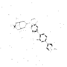 Cn1cc(-c2ccc(-c3cc4c(nn3)N(C3C[C@@H]5CC(F)(F)C[C@H](C3)N5)CCO4)c(O)c2)cn1